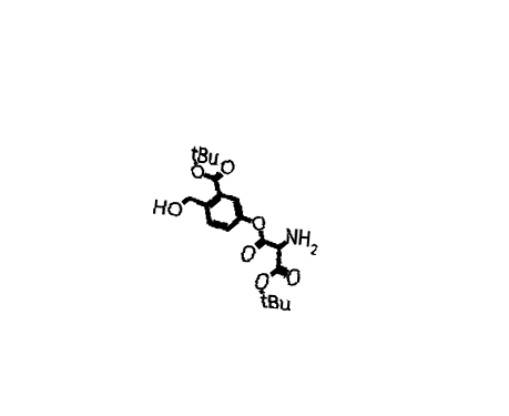 CC(C)(C)OC(=O)c1cc(OC(=O)C(N)C(=O)OC(C)(C)C)ccc1CO